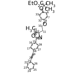 CCOC(=O)C(C)(C)Oc1ccc(OCCc2nc(-c3ccc(C#Cc4ccccc4)cc3)oc2C)cc1